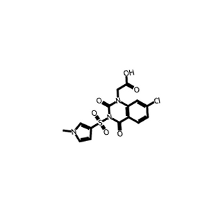 Cn1ccc(S(=O)(=O)n2c(=O)c3ccc(Cl)cc3n(CC(=O)O)c2=O)c1